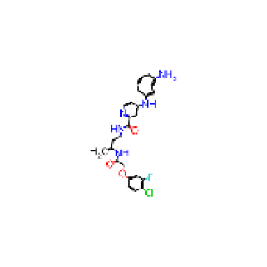 C=C(CCNC(=O)c1cc(N/C2=C/C=C(\N)C/C=C\C2)ccn1)NC(=O)COc1ccc(Cl)c(F)c1